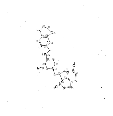 Cl.O=c1ccc2ncc(=O)n3c2n1CC3CN1CCC(NCc2cc3c(cn2)SCCO3)CC1